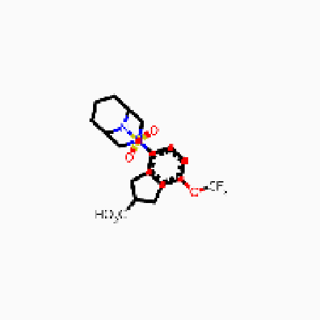 O=C(O)C1Cc2cccc(S(=O)(=O)N3C4CCCC3CN(c3ccc(OC(F)(F)F)cc3)C4)c2C1